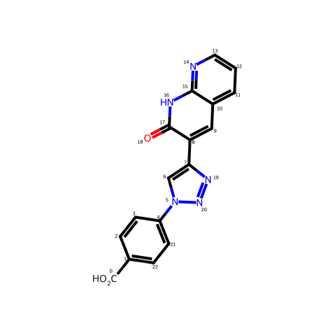 O=C(O)c1ccc(-n2cc(-c3cc4cccnc4[nH]c3=O)nn2)cc1